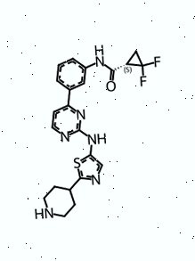 O=C(Nc1cccc(-c2ccnc(Nc3cnc(C4CCNCC4)s3)n2)c1)[C@@H]1CC1(F)F